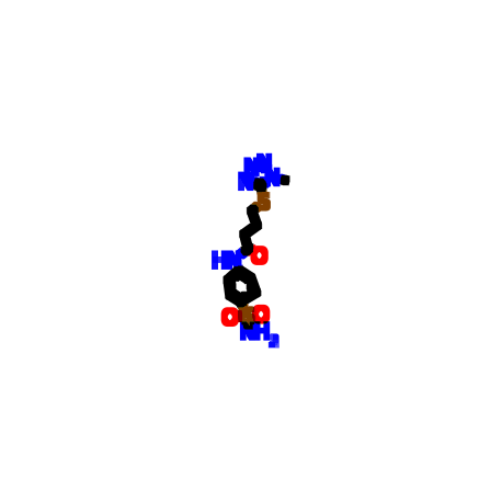 Cn1nnnc1SCCCC(=O)Nc1ccc(S(N)(=O)=O)cc1